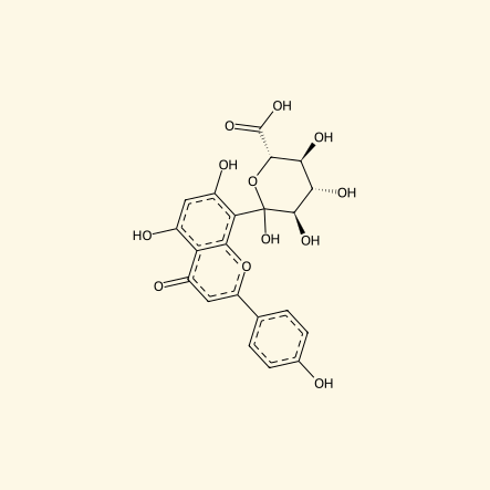 O=C(O)[C@H]1OC(O)(c2c(O)cc(O)c3c(=O)cc(-c4ccc(O)cc4)oc23)[C@H](O)[C@@H](O)[C@@H]1O